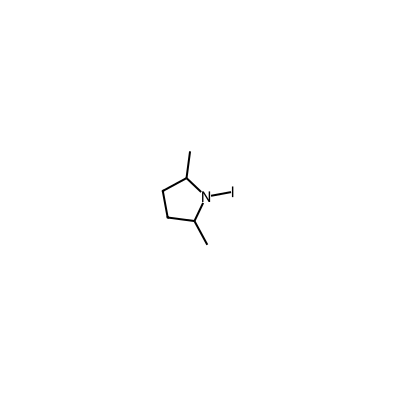 CC1CCC(C)N1I